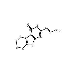 O=C(O)C=Cc1nc2sc3c(c2c(=O)o1)CCCC3